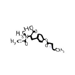 C/C=C/C(=O)Oc1ccc(CC(C(=O)O)N(C)C(C)=O)cc1